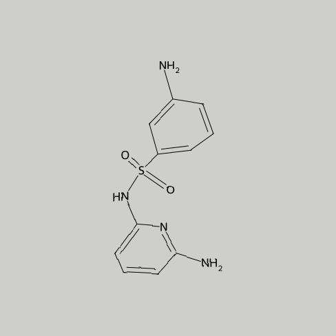 Nc1cccc(S(=O)(=O)Nc2cccc(N)n2)c1